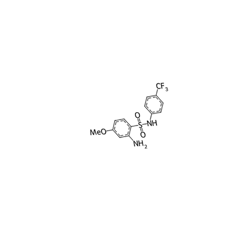 COc1ccc(S(=O)(=O)Nc2ccc(C(F)(F)F)cc2)c(N)c1